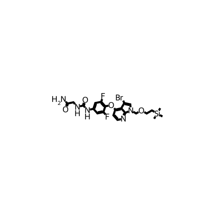 C[Si](C)(C)CCOCn1cc(Br)c2c(Oc3c(F)cc(NC(=O)NCC(N)=O)cc3F)ccnc21